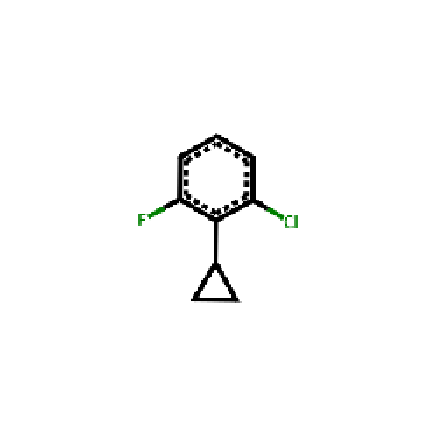 Fc1cccc(Cl)c1C1CC1